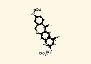 CCCCCCCCOc1ccc2c(c1)COc1cc3oc(OC(=O)OCC)cc(=O)c3cc1C2=O